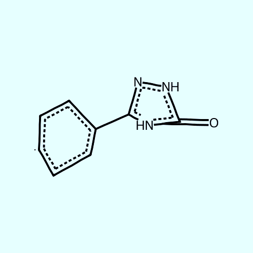 O=c1[nH]nc(-c2cc[c]cc2)[nH]1